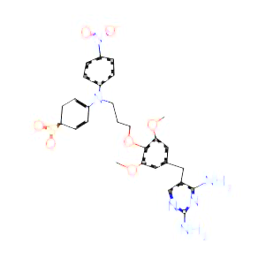 COc1cc(Cc2cnc(N)nc2N)cc(OC)c1OCCCN(C1=CCC(=S(=O)=O)C=C1)c1ccc([N+](=O)[O-])cc1